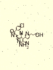 N#Cc1c(N)nc(SCc2ncoc2-c2ccc(Cl)cc2)c(C#N)c1-c1ccc(CCCO)nc1